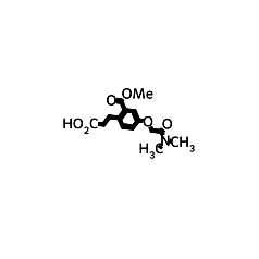 COC(=O)c1cc(OCC(=O)N(C)C)ccc1CCC(=O)O